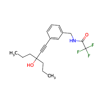 CCCC(O)(C#Cc1cccc(CNC(=O)C(F)(F)F)c1)CCC